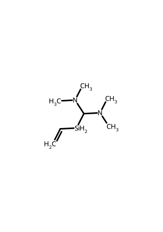 C=C[SiH2]C(N(C)C)N(C)C